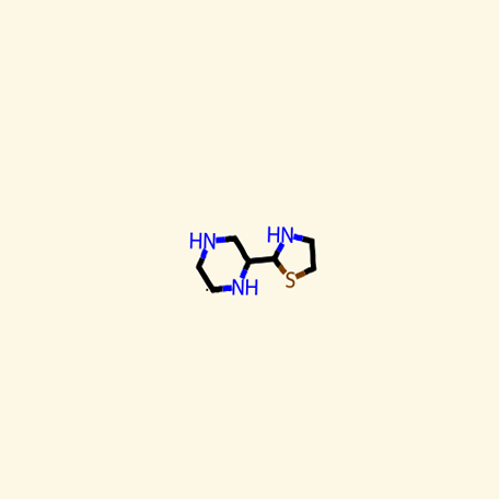 [CH]1CNCC(C2NCCS2)N1